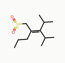 CCCC(C[SH](=O)=O)=C(C(C)C)C(C)C